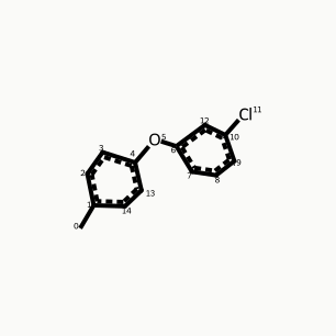 Cc1ccc(Oc2cc[c]c(Cl)c2)cc1